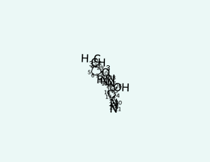 CC[C@]1(C)CCC[C@@H](F)[C@H](Oc2ncc(-c3ccc(-n4ccnc4)cc3O)nn2)C1